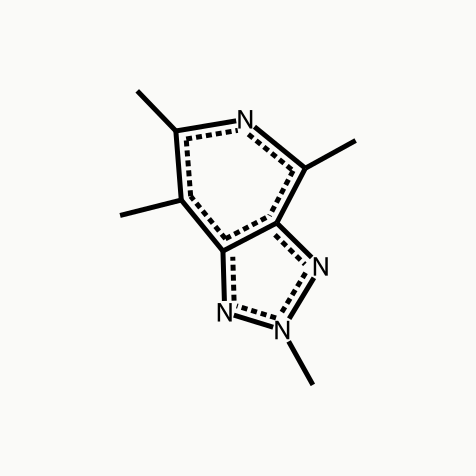 Cc1nc(C)c2nn(C)nc2c1C